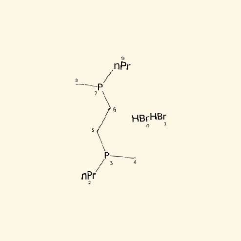 Br.Br.CCCP(C)CCP(C)CCC